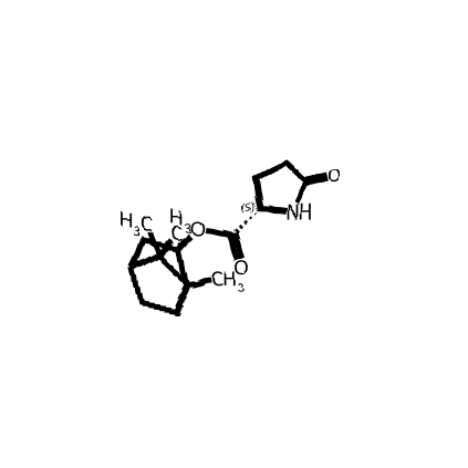 CC1(C)C2CCC1(C)C(OC(=O)[C@@H]1CCC(=O)N1)C2